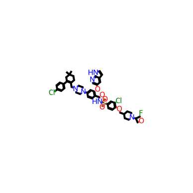 CC1(C)CCC(CN2CCN(c3ccc(C(=O)NS(=O)(=O)c4ccc(OCC5CCN(C6COC6F)CC5)c(Cl)c4)c(Oc4cnc5[nH]ccc5c4)c3)CC2)=C(c2ccc(Cl)cc2)C1